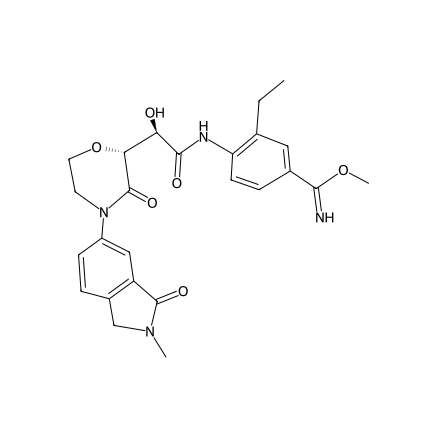 CCc1cc(C(=N)OC)ccc1NC(=O)[C@H](O)[C@H]1OCCN(c2ccc3c(c2)C(=O)N(C)C3)C1=O